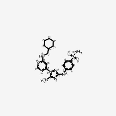 Nc1nc(Nc2ccc(S(N)(=O)=O)cc2)nn1-c1cc(NCC2CCCCC2)ncn1